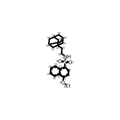 CCOc1ccc(S(=O)(=O)NCCC23CC4CC(CC(C4)C2)C3)c2ccccc12